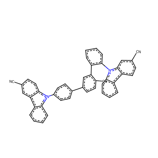 N#Cc1ccc2c(c1)c1ccccc1n2-c1ccc(-c2ccc(C#N)c(-c3ccccc3-n3c4ccccc4c4ccc(C#N)cc43)c2)cc1